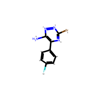 Nc1nnc(Br)nc1-c1ccc(F)cc1